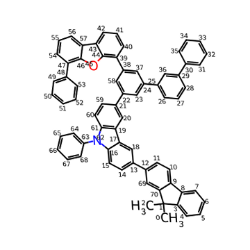 CC1(C)c2ccccc2-c2ccc(-c3ccc4c(c3)c3cc(-c5cc(-c6cccc(-c7ccccc7)c6)cc(-c6cccc7c6oc6c(-c8ccccc8)cccc67)c5)ccc3n4-c3ccccc3)cc21